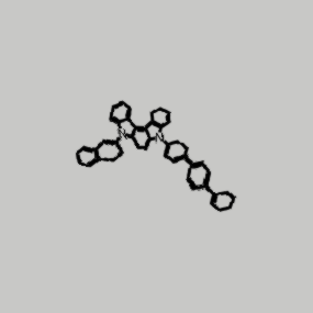 C1=Cc2c(c3c4c5ccccc5n(C5=Cc6ccccc6CC5)c4ccc3n2C2=CC=C(c3ccc(C4=CCCCC4)cc3)CC2)CC1